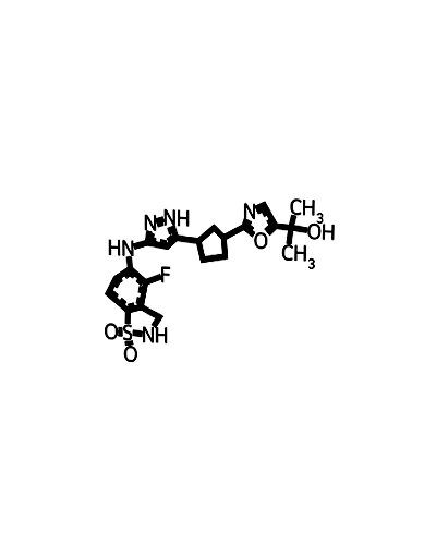 CC(C)(O)c1cnc(C2CCC(c3cc(Nc4ccc5c(c4F)CNS5(=O)=O)n[nH]3)C2)o1